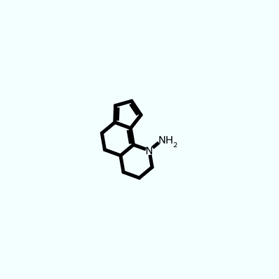 NN1CCCC2CCC3=CC=CC3=C21